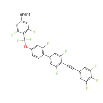 CCCCCc1cc(F)c(C(F)(F)Oc2ccc(-c3cc(F)c(C#Cc4cc(F)c(F)c(F)c4)c(F)c3)c(F)c2)c(F)c1